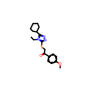 CCn1c(SCC(=O)c2ccc(OC)cc2)nnc1C1CCCCC1